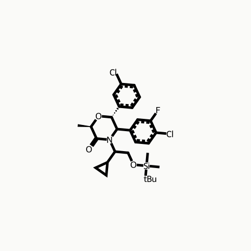 C[C@H]1O[C@H](c2cccc(Cl)c2)C(c2ccc(Cl)c(F)c2)N(C(CO[Si](C)(C)C(C)(C)C)C2CC2)C1=O